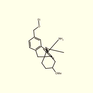 CCOCc1ccc2c(c1)C1(N=C(N)N(C)C1=O)C1(CCC(OC)CC1)C2